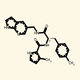 Cc1ccc(C[C@H](NC(=O)c2[nH]ccc2C)C(=O)NCc2cnc3[nH]ccc3c2)cc1